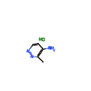 Cc1nnccc1N.Cl